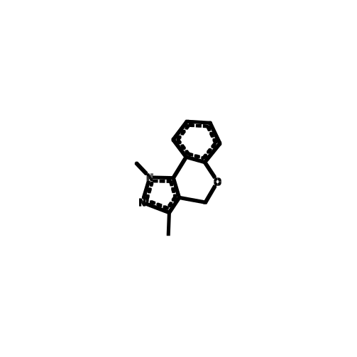 Cc1nn(C)c2c1COc1ccccc1-2